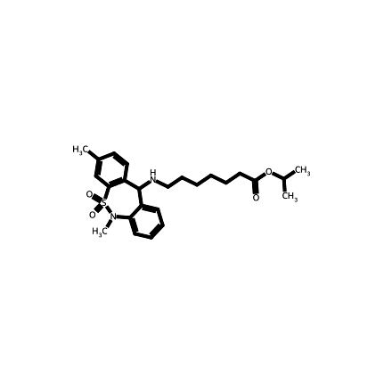 Cc1ccc2c(c1)S(=O)(=O)N(C)c1ccccc1C2NCCCCCCC(=O)OC(C)C